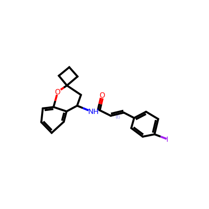 O=C(/C=C/c1ccc(I)cc1)NC1CC2(CCC2)Oc2ccccc21